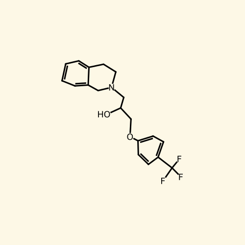 OC(COc1ccc(C(F)(F)F)cc1)CN1CCc2ccccc2C1